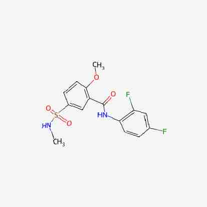 CNS(=O)(=O)c1ccc(OC)c(C(=O)Nc2ccc(F)cc2F)c1